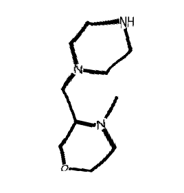 CN1CCOCC1CN1CCNCC1